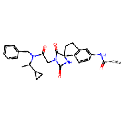 COC(=O)Nc1ccc2c(c1)CCC21NC(=O)N(CC(=O)N(Cc2ccccc2)C(C)C2CC2)C1=O